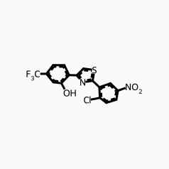 O=[N+]([O-])c1ccc(Cl)c(-c2nc(-c3ccc(C(F)(F)F)cc3O)cs2)c1